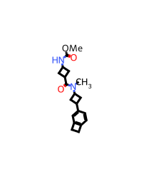 COC(=O)NC1CC(C(=O)N(C)C2CC(c3ccc4c(c3)CC4)C2)C1